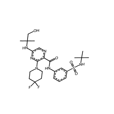 CC(C)(C)NS(=O)(=O)c1cccc(NC(=O)c2ncc(NC(C)(C)CO)nc2N2CCC(F)(F)CC2)c1